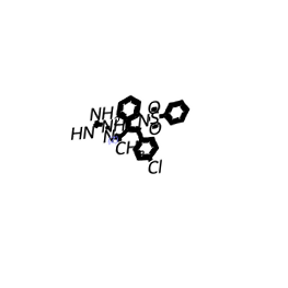 C/C(=N/NC(=N)N)c1c(-c2ccc(Cl)cc2)n(S(=O)(=O)c2ccccc2)c2ccccc12